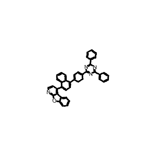 C1=C(c2nc(-c3ccccc3)nc(-c3ccccc3)n2)CCC(c2ccc(-c3ccnc4oc5ccccc5c34)c3ccccc23)=C1